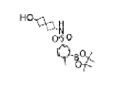 Cc1ccc(S(=O)(=O)NC2CC3(CC(O)C3)C2)cc1B1OC(C)(C)C(C)(C)O1